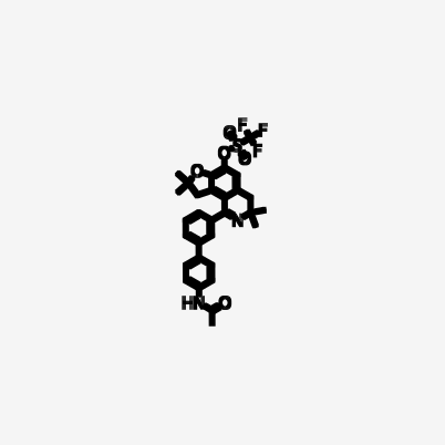 CC(=O)Nc1ccc(-c2cccc(C3=NC(C)(C)Cc4cc(OS(=O)(=O)C(F)(F)F)c5c(c43)CC(C)(C)O5)c2)cc1